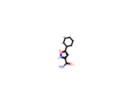 NC(=O)c1cc(C2CCCCC2)on1